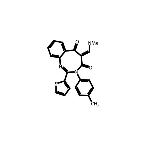 CN/C=C1\C(=O)c2ccccc2/N=C(/c2cccs2)N(c2ccc(C)cc2)C1=O